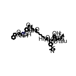 Cc1ncsc1-c1ccc([C@H](CC(=O)NCCCCCCC(=O)NCCN(C)C(=O)c2ccc(/C(O)=C/C(=N)C(=O)NC3CCc4ccccc43)cc2O)NC(=O)[C@@H]2C[C@@H](O)CN2C(=O)[C@@H](NC(=O)C2(F)CC2)C(C)(C)C)cc1